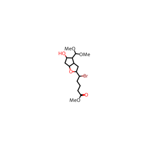 COC(=O)CCCC(Br)C1CC2C(CC(O)C2C(OC)OC)O1